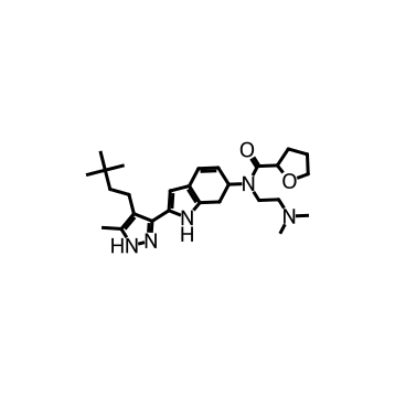 Cc1[nH]nc(-c2cc3c([nH]2)CC(N(CCN(C)C)C(=O)C2CCCO2)C=C3)c1CCC(C)(C)C